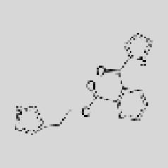 O=C(OCCc1ccsc1)c1ccccc1C(=O)c1cccs1